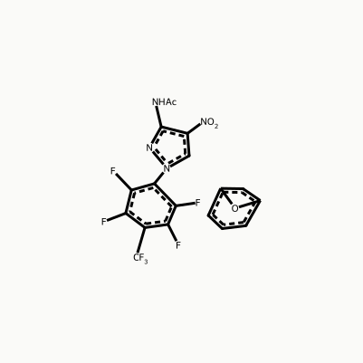 CC(=O)Nc1nn(-c2c(F)c(F)c(C(F)(F)F)c(F)c2F)cc1[N+](=O)[O-].c1cc2cc(c1)O2